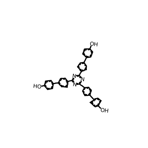 Oc1ccc(-c2ccc(-c3nc(-c4ccc(-c5ccc(O)cc5)cc4)nc(-c4ccc(-c5ccc(O)cc5)cc4)n3)cc2)cc1